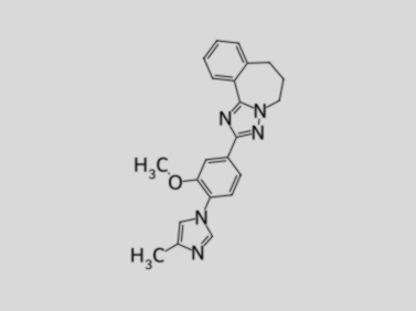 COc1cc(-c2nc3n(n2)CCCc2ccccc2-3)ccc1-n1cnc(C)c1